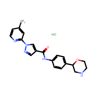 Cl.O=C(Nc1ccc(C2CNCCO2)cc1)c1cnn(-c2cc(C(F)(F)F)ccn2)c1